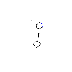 COc1cncc(C#Cc2ccc(F)cc2)c1